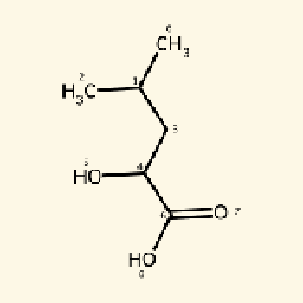 C[C](C)CC(O)C(=O)O